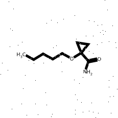 CCCCCOC1(C(N)=O)CC1